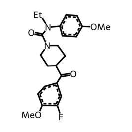 CCN(C(=O)N1CCC(C(=O)c2ccc(OC)c(F)c2)CC1)c1ccc(OC)cc1